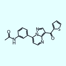 CC(=O)Nc1cccc(-c2ccnc3c(C(=O)c4cccs4)cnn23)c1